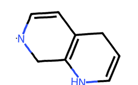 C1=CNC2=C(C=C[N]C2)C1